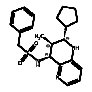 C[C@@H]1[C@H](NS(=O)(=O)Cc2ccccc2)c2ncccc2N[C@H]1C1CCCC1